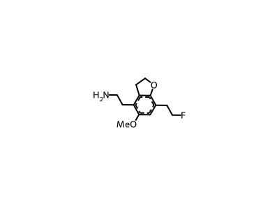 COc1cc(CCF)c2c(c1CCN)CCO2